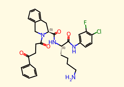 NCCCC[C@H](NC(=O)[C@@H]1Cc2ccccc2CN1C(=O)CCC(=O)c1ccccc1)C(=O)Nc1ccc(Cl)c(F)c1